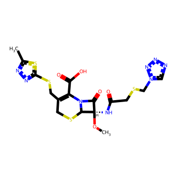 CO[C@]1(NC(=O)CSCn2cnnn2)C(=O)N2C(C(=O)O)=C(CSc3nnc(C)s3)CSC21